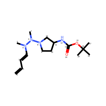 C=C/C=C/N(C)N(C)N1CCC(NC(=O)OC(C)(C)C)C1